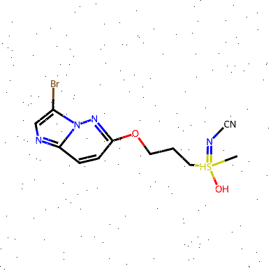 C[SH](O)(CCCOc1ccc2ncc(Br)n2n1)=NC#N